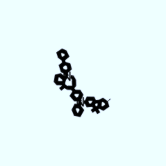 CC1/C=C(c2ccc(N(c3ccccc3)c3ccc4c(c3)C(C)(C)C3=C4C[C@H](C)C=C3)cc2)\C=C/CN(c2ccc(-c3ccccc3)cc2)c2ccccc21